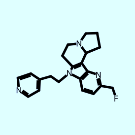 FCc1ccc2c(n1)c1c(n2CCc2ccncc2)CCN2CCCC12